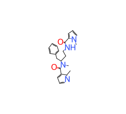 Cc1ncccc1C(=O)N(C)C(CCNC(=O)c1cccn1C)Cc1ccccc1